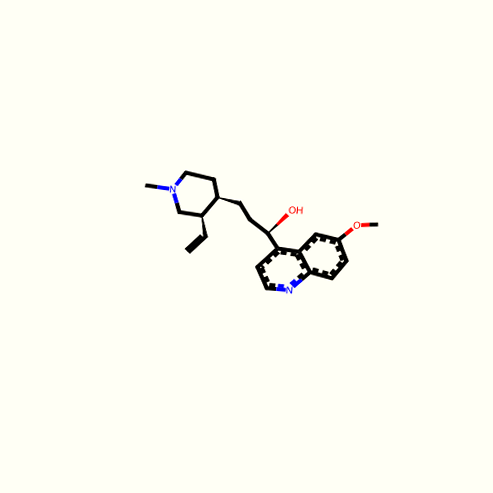 C=C[C@H]1CN(C)CC[C@H]1CC[C@@H](O)c1ccnc2ccc(OC)cc12